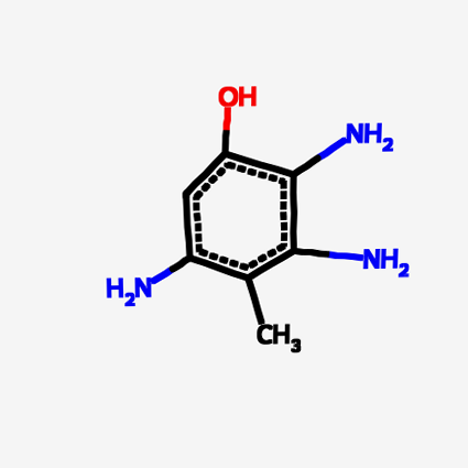 Cc1c(N)cc(O)c(N)c1N